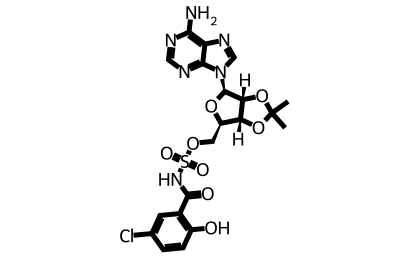 CC1(C)O[C@@H]2[C@H](O1)[C@@H](COS(=O)(=O)NC(=O)c1cc(Cl)ccc1O)O[C@H]2n1cnc2c(N)ncnc21